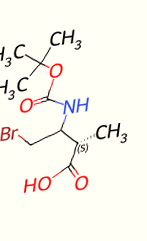 C[C@H](C(=O)O)C(CBr)NC(=O)OC(C)(C)C